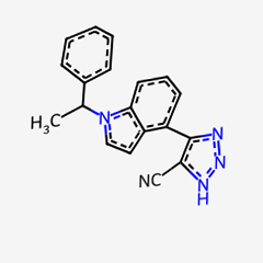 CC(c1ccccc1)n1ccc2c(-c3nn[nH]c3C#N)cccc21